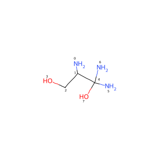 NC(CO)C(N)(N)O